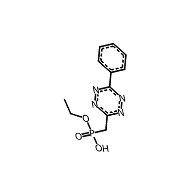 CCOP(=O)(O)Cc1nnc(-c2ccccc2)nn1